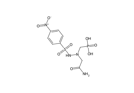 NC(=O)CN(CP(=O)(O)O)NS(=O)(=O)c1ccc([N+](=O)[O-])cc1